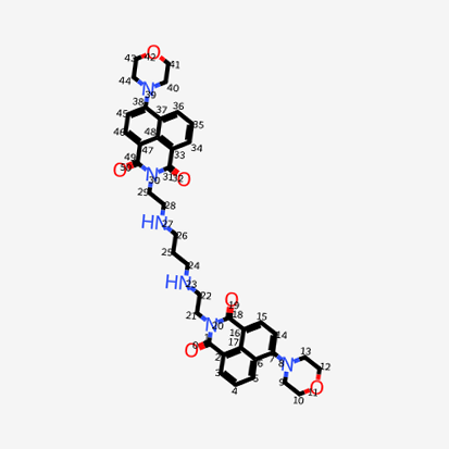 O=C1c2cccc3c(N4CCOCC4)ccc(c23)C(=O)N1CCNCCCNCCN1C(=O)c2cccc3c(N4CCOCC4)ccc(c23)C1=O